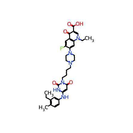 CCc1cc(Nc2cc(=O)n(CCCCN3CCN(c4cc5c(cc4F)c(=O)c(C(=O)O)cn5CC)CC3)c(=O)[nH]2)ccc1C